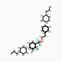 CCC[C@H]1CC[C@H](c2ccc(CCOC(F)(F)c3ccc([C@H]4CC[C@H](CCC)CC4)c(F)c3F)cc2)CC1